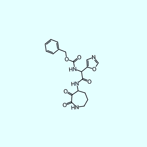 O=C(NC(C(=O)NC1CCCNC(=O)C1=O)c1cnco1)OCc1ccccc1